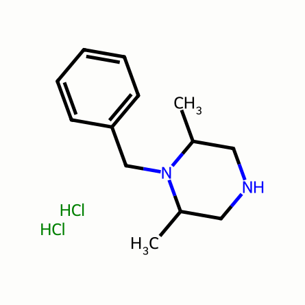 CC1CNCC(C)N1Cc1ccccc1.Cl.Cl